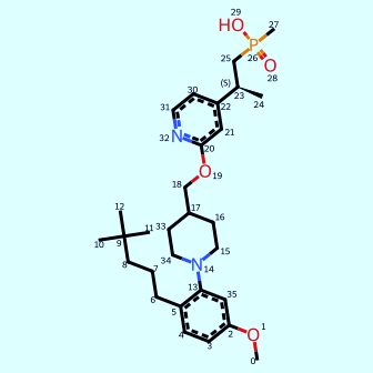 COc1ccc(CCCC(C)(C)C)c(N2CCC(COc3cc([C@H](C)CP(C)(=O)O)ccn3)CC2)c1